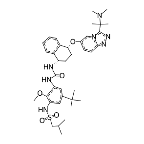 COc1c(NC(=O)N[C@H]2CC[C@@H](Oc3ccc4nnc(C(C)(C)N(C)C)n4c3)c3ccccc32)cc(C(C)(C)C)cc1NS(=O)(=O)CC(C)C